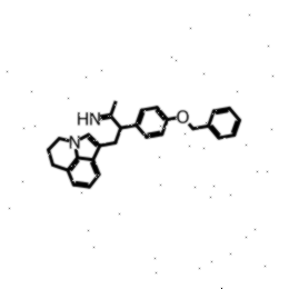 CC(=N)C(Cc1cn2c3c(cccc13)CCC2)c1ccc(OCc2ccccc2)cc1